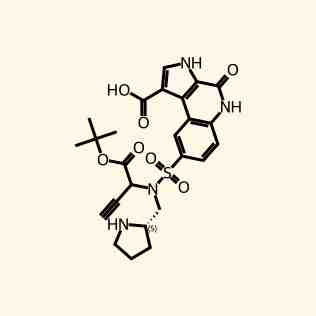 C#CC(C(=O)OC(C)(C)C)N(C[C@@H]1CCCN1)S(=O)(=O)c1ccc2[nH]c(=O)c3[nH]cc(C(=O)O)c3c2c1